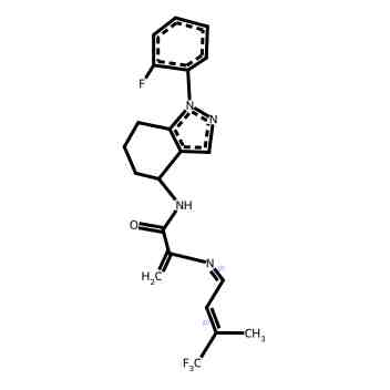 C=C(/N=C\C=C(/C)C(F)(F)F)C(=O)NC1CCCc2c1cnn2-c1ccccc1F